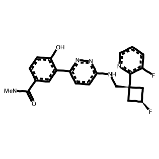 CNC(=O)c1ccc(O)c(-c2ccc(NC[C@]3(c4ncccc4F)C[C@H](F)C3)nn2)c1